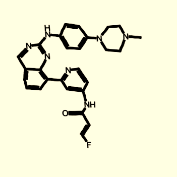 CN1CCN(c2ccc(Nc3ncc4cccc(-c5cc(NC(=O)C=CF)ccn5)c4n3)cc2)CC1